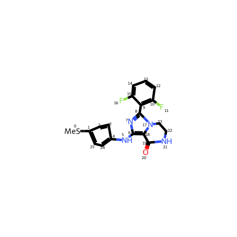 CSc1ccc(Nc2nc(-c3c(F)cccc3F)n3c2C(=O)NCC3)cc1